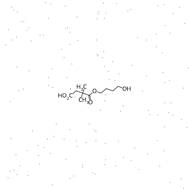 CC(C)(CC(=O)O)C(=O)OCCCCO